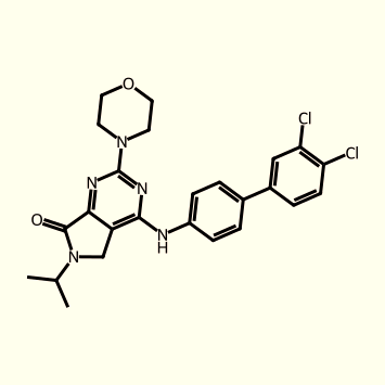 CC(C)N1Cc2c(Nc3ccc(-c4ccc(Cl)c(Cl)c4)cc3)nc(N3CCOCC3)nc2C1=O